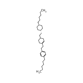 CCCCCCc1ccc(CCC2=CCC(CC[C@H]3CC[C@H](CCCCCC)CC3)CC2)cc1